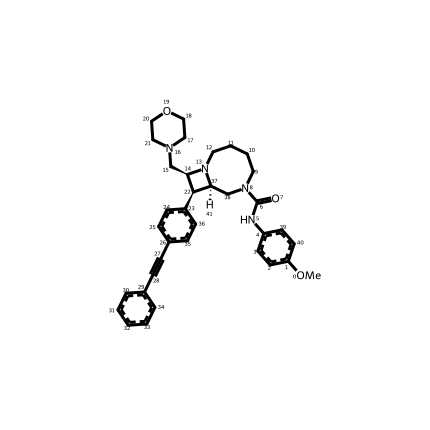 COc1ccc(NC(=O)N2CCCCN3[C@H](CN4CCOCC4)[C@H](c4ccc(C#Cc5ccccc5)cc4)[C@@H]3C2)cc1